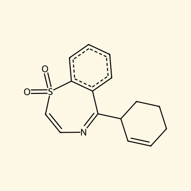 O=S1(=O)C=CN=C(C2C=CCCC2)c2ccccc21